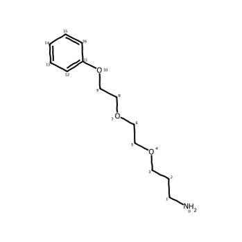 NCCCOCCOCCOc1ccccc1